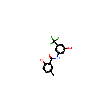 Cc1ccc(O)c(C(=O)Nc2cc(O)cc(C(F)(F)F)c2)c1